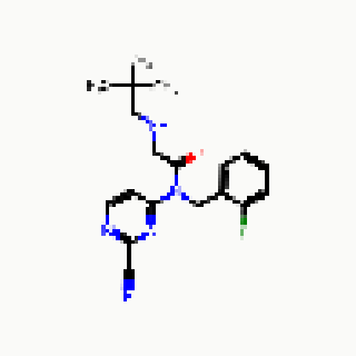 CC(C)(C)CNCC(=O)N(Cc1ccccc1F)c1ccnc(C#N)n1